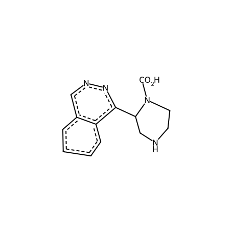 O=C(O)N1CCNCC1c1nncc2ccccc12